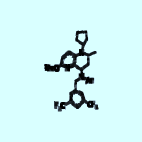 COc1ccc2c(n1)C(N(Cc1cc(C(F)(F)F)cc(C(F)(F)F)c1)C(C)=O)CC(C)N2C1CCCC1